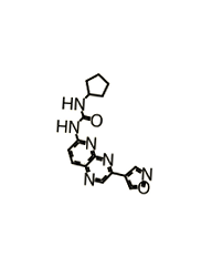 O=C(Nc1ccc2ncc(-c3cnoc3)nc2n1)NC1CCCC1